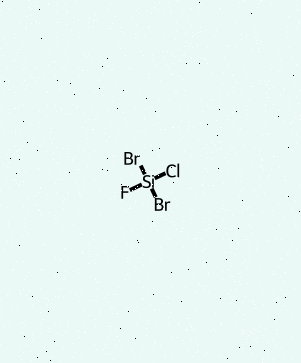 F[Si](Cl)(Br)Br